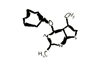 Cc1nc(Oc2ccccc2)c2c(C)csc2n1